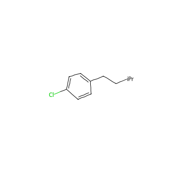 [CH2]C(C)CCc1ccc(Cl)cc1